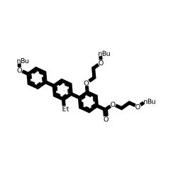 CCCCOCCOC(=O)c1ccc(-c2ccc(-c3ccc(OCCCC)cc3)cc2CC)c(OCCOCCCC)c1